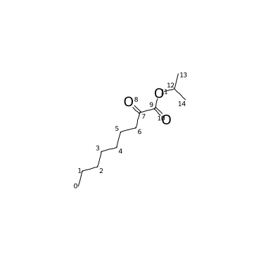 CCCCCCCC(=O)C(=O)OC(C)C